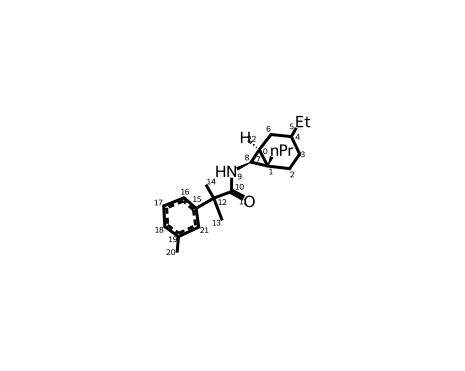 CCC[C@]12CCC(CC)C[C@@H]1[C@@H]2NC(=O)C(C)(C)c1cccc(C)c1